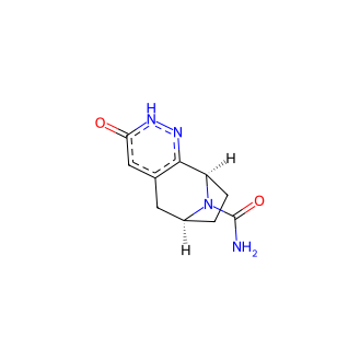 NC(=O)N1[C@H]2CC[C@@H]1c1n[nH]c(=O)cc1C2